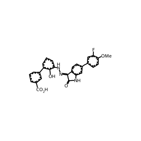 COc1ccc(-c2ccc3c(c2)NC(=O)C3=NNc2cccc(-c3cccc(C(=O)O)c3)c2O)cc1F